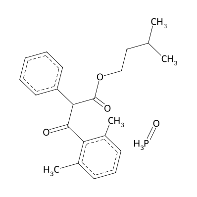 Cc1cccc(C)c1C(=O)C(C(=O)OCCC(C)C)c1ccccc1.O=[PH3]